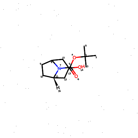 CC(C)(C)OC(=O)N1C2CC[C@H]1CC(O)C2